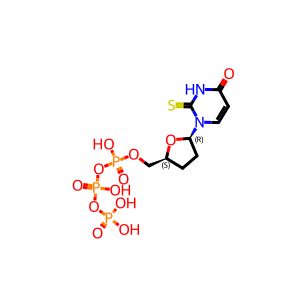 O=c1ccn([C@H]2CC[C@@H](COP(=O)(O)OP(=O)(O)OP(=O)(O)O)O2)c(=S)[nH]1